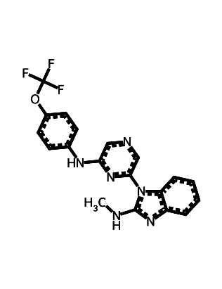 CNc1nc2ccccc2n1-c1cncc(Nc2ccc(OC(F)(F)F)cc2)n1